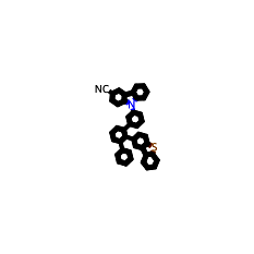 N#Cc1ccc2c(c1)c1ccccc1n2-c1cccc(-c2cccc(-c3ccccc3)c2-c2ccc3sc4ccccc4c3c2)c1